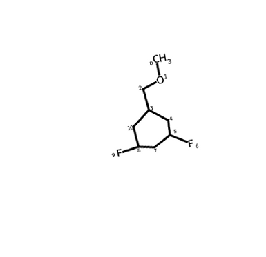 COCC1CC(F)CC(F)C1